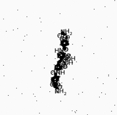 NC(=O)CS(=O)(=O)c1ccc(C(=O)Nc2ccc(C=Cc3ccc(NC(=O)c4ccc(S(=O)(=O)CC(N)=O)cc4)cc3S(=O)(=O)O)c(S(=O)(=O)O)c2)cc1